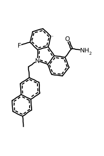 Cc1ccc2cc(Cn3c4cccc(C(N)=O)c4c4[c]ccc(F)c43)ccc2c1